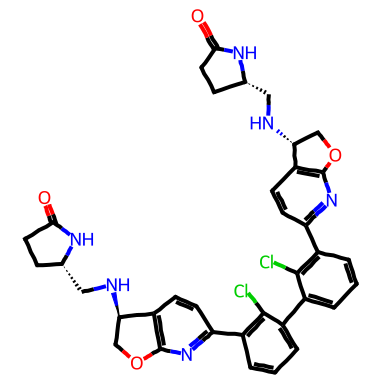 O=C1CC[C@@H](CN[C@@H]2COc3nc(-c4cccc(-c5cccc(-c6ccc7c(n6)OC[C@H]7NC[C@@H]6CCC(=O)N6)c5Cl)c4Cl)ccc32)N1